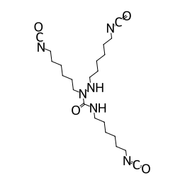 O=C=NCCCCCCNC(=O)N(CCCCCCN=C=O)NCCCCCCN=C=O